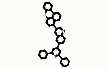 C1=CC(c2cc(-c3ccc4ncc(-c5ccc6c7c(cccc57)-c5ccccc5O6)cc4c3)cc(-c3ccccc3)n2)=CCC1